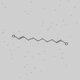 ClC=CCCCCCCC=CCl